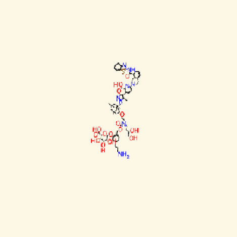 Cc1c(-c2ccc(N3CCc4cccc(C(=O)Nc5nc6ccccc6s5)c4C3)nc2C(=O)O)cnn1CC12CC3(C)CC(C)(C1)CC(OCCN(CC[C@H](O)CO)C(=O)OCc1ccc(CCCN)cc1O[C@@H]1O[C@H](C(=O)O)[C@@H](O)[C@H](O)[C@H]1O)(C3)C2